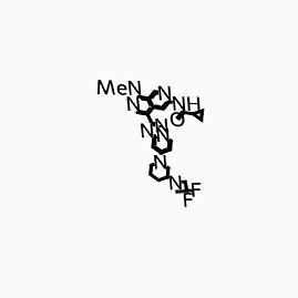 CNc1ncc(-c2nc3cc(N4CCCC(N5CC(F)(F)C5)C4)ccn3n2)c2cc(NC(=O)C3CC3)ncc12